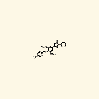 COc1cc(-c2c[nH]c(C3CCCCC3)n2)cc(OC)c1OCc1ccc(C(F)(F)F)cn1